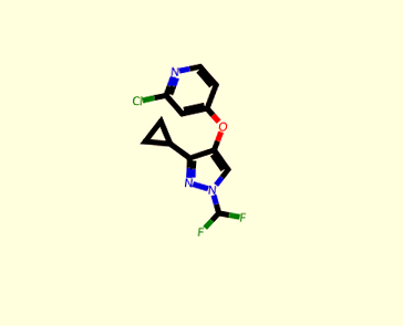 FC(F)n1cc(Oc2ccnc(Cl)c2)c(C2CC2)n1